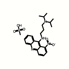 CC(C)N(CCCNc1c2ccccc2nc2cccc([N+](=O)[O-])c12)C(C)C.CS(=O)(=O)O